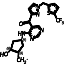 [CH2][C@@H]1C[C@@H](Nc2ncncc2C(=O)c2ccn(Cc3ccc(C(F)(F)F)s3)n2)C[C@@H]1O